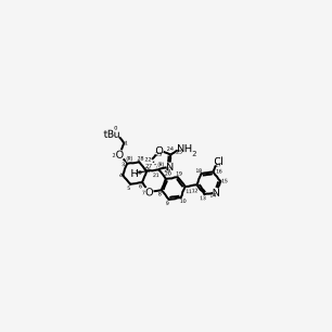 CC(C)(C)CO[C@@H]1CCC2Oc3ccc(-c4cncc(Cl)c4)cc3[C@@]3(COC(N)=N3)[C@H]2C1